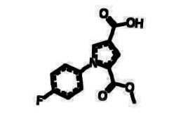 COC(=O)c1cc(C(=O)O)cn1-c1ccc(F)cc1